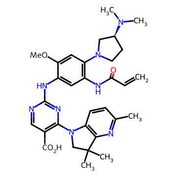 C=CC(=O)Nc1cc(Nc2ncc(C(=O)O)c(N3CC(C)(C)c4nc(C)ccc43)n2)c(OC)cc1N1CC[C@H](N(C)C)C1